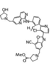 COC(=O)[C@@H]1CCN(Cc2cc(C#N)c3oc(-c4ccnc(-c5cccc(Nc6nccc7cc(CN8CC[C@@H](O)C8)cnc67)c5C)c4Cl)nc3c2)C1